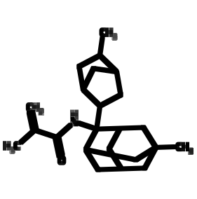 C=C(C)C(=O)NC1(C2CC3CC2CC3C)C2CC3CC1CC(C)(C3)C2